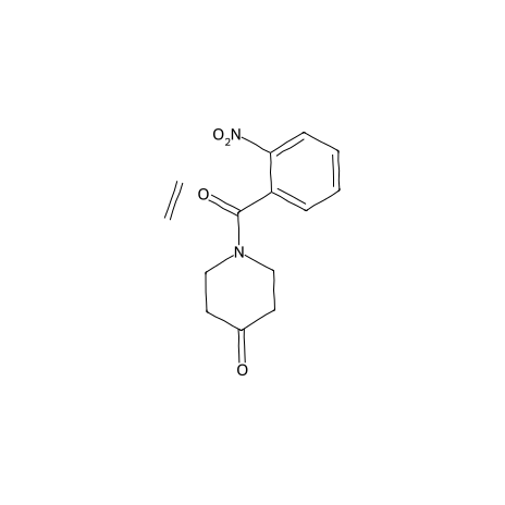 C=C.O=C1CCN(C(=O)c2ccccc2[N+](=O)[O-])CC1